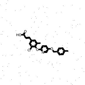 Cc1ccc(COc2ccc(Oc3c(C)cc(/C=C/C(=O)O)cc3Cl)nc2)cc1